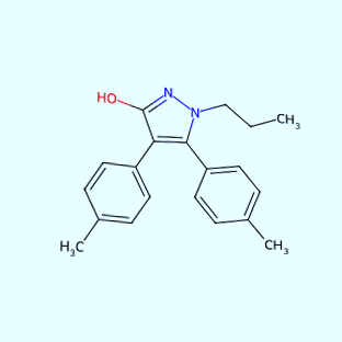 CCCn1nc(O)c(-c2ccc(C)cc2)c1-c1ccc(C)cc1